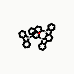 c1cc(-n2c3ccccc3c3ccccc32)cc(-n2c3ccccc3c3ccc4c5ccccc5n(-c5ccc6ccccc6c5)c4c32)c1